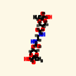 CC1(C(=O)O)OCC(OC(=O)NCCNC(=O)OC2COC(C)(C(=O)O)OC2)CO1